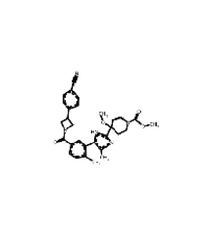 COC(=O)N1CCC(OC)(c2nc(C)c(-c3cc(C(=O)N4CC(c5ccc(C#N)cc5)C4)ccc3C)[nH]2)CC1